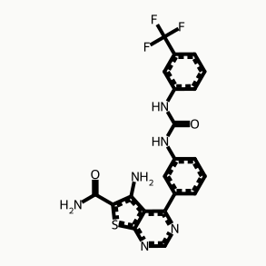 NC(=O)c1sc2ncnc(-c3cccc(NC(=O)Nc4cccc(C(F)(F)F)c4)c3)c2c1N